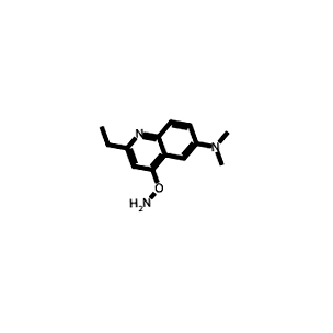 CCc1cc(ON)c2cc(N(C)C)ccc2n1